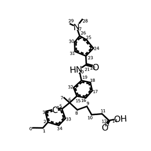 CCc1ccc(C(C)(CCCCC(=O)O)c2cccc(NC(=O)c3ccc(N(C)C)cc3)c2)cc1